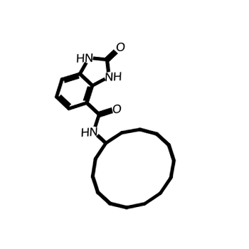 O=C(NC1CCCCCCCCCCCCC1)c1cccc2[nH]c(=O)[nH]c12